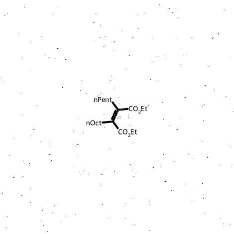 CCCCCCCC/C(C(=O)OCC)=C(\CCCCC)C(=O)OCC